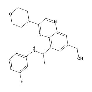 CC(Nc1cccc(F)c1)c1cc(CO)cc2ncc(N3CCOCC3)nc12